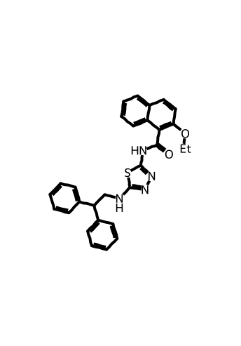 CCOc1ccc2ccccc2c1C(=O)Nc1nnc(NCC(c2ccccc2)c2ccccc2)s1